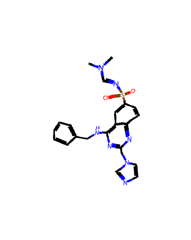 CN(C)/C=N/S(=O)(=O)c1ccc2nc(-n3ccnc3)nc(NCc3ccccc3)c2c1